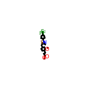 COC(=O)C=Cc1ccc(Cc2sc(-c3ccc(C(F)(F)F)cc3)nc2C)cc1OC